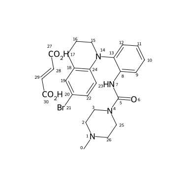 CN1CCN(C(=O)Nc2ccccc2N2CCCc3cc(Br)ccc32)CC1.O=C(O)C=CC(=O)O